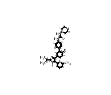 Cc1cccc(-c2[nH]c(C(C)C)nc2-c2ccc(F)c(-c3ccc(NC(=O)NN4CCOCC4)cc3)c2)n1